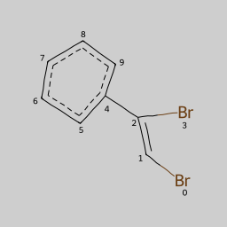 BrC=C(Br)c1ccccc1